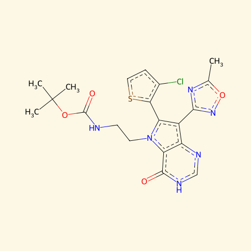 Cc1nc(-c2c(-c3sccc3Cl)n(CCNC(=O)OC(C)(C)C)c3c(=O)[nH]cnc23)no1